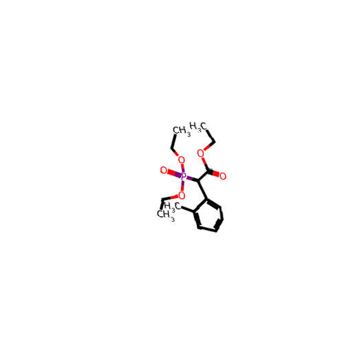 CCOC(=O)C(c1ccccc1C)P(=O)(OCC)OCC